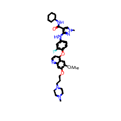 COc1cc2c(Oc3ccc(Nc4nn(C)cc4C(=O)NC4CCCCC4)cc3F)ccnc2cc1OCCCN1CCN(C)CC1